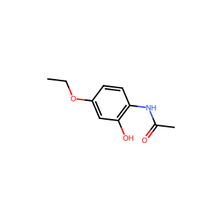 CCOc1ccc(NC(C)=O)c(O)c1